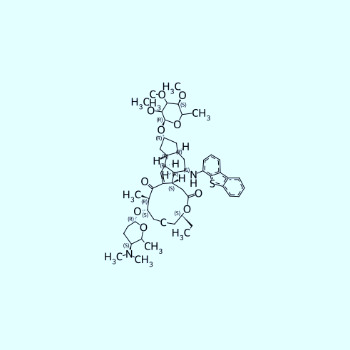 CC[C@H]1CCC[C@H](O[C@H]2CC[C@H](N(C)C)C(C)O2)[C@@H](C)C(=O)C2=C[C@H]3[C@@H]4C[C@H](O[C@@H]5OC(C)[C@H](OC)C(OC)C5OC)C[C@H]4C[C@H](Nc4cccc5c4sc4ccccc45)[C@H]3[C@@H]2CC(=O)O1